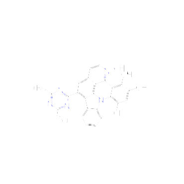 Cc1cc(C)c2c(c1C)c1c3c(cc[n+]1C)cc(-c1nc(C(C)(C)C)nc(C(C)(C)C)n1)c1c4ccccc4n2c13